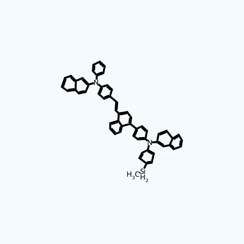 C[SiH2]c1ccc(N(c2ccc(-c3ccc(/C=C/c4ccc(N(c5ccccc5)c5ccc6ccccc6c5)cc4)c4ccccc34)cc2)c2ccc3ccccc3c2)cc1